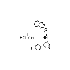 Cl.Cl.Cl.Fc1ccc(-c2cncc(CNCCOc3ccc4ncccc4c3)c2)cc1